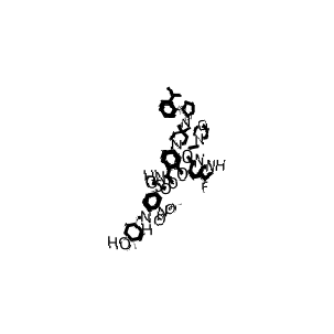 CC(C)c1ccccc1[C@@H]1CCC[C@@H]1N1CC2(CCN(c3ccc(C(=O)NS(=O)(=O)c4ccc(NC[C@H]5CC[C@](C)(O)CC5)c([N+](=O)[O-])c4)c(Oc4cc5c(F)c[nH]c5nc4OCCN4CCOCC4)c3)CC2)C1